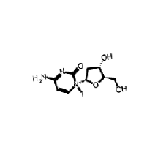 NC1=NC(=O)[N+](I)([C@H]2C[C@H](O)[C@@H](CO)O2)C=C1